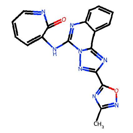 Cc1noc(-c2nc3c4ccccc4nc(Nc4ccccnc4=O)n3n2)n1